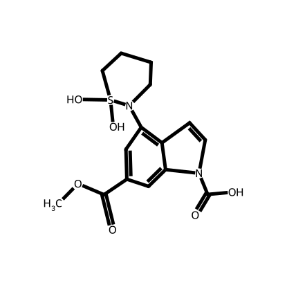 COC(=O)c1cc(N2CCCCS2(O)O)c2ccn(C(=O)O)c2c1